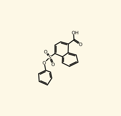 O=C(O)c1ccc(S(=O)(=O)Oc2ccccc2)c2ccccc12